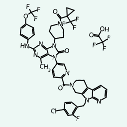 Cc1nc(Nc2ccc(OC(F)(F)F)cc2)nc2c1n(-c1ccc(C(=O)N3CCc4c(n(Cc5ccc(Cl)cc5F)c5ncccc45)C3)nc1)c(=O)n2C1CCN(C(=O)C2(C(F)(F)F)CC2)CC1.O=C(O)C(F)(F)F